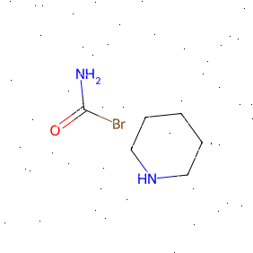 C1CCNCC1.NC(=O)Br